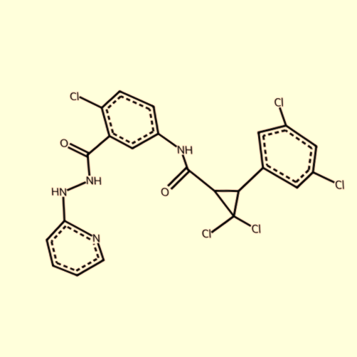 O=C(NNc1ccccn1)c1cc(NC(=O)C2C(c3cc(Cl)cc(Cl)c3)C2(Cl)Cl)ccc1Cl